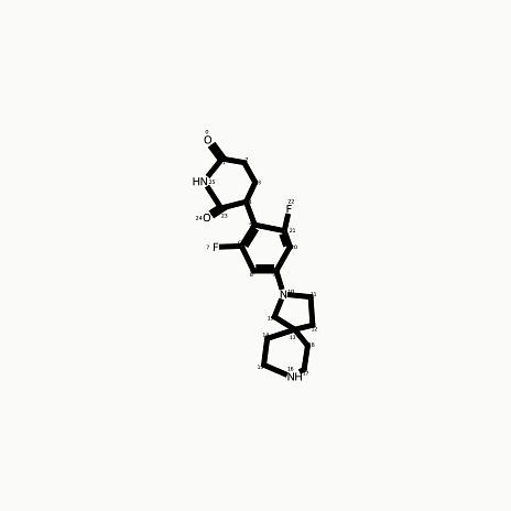 O=C1CCC(c2c(F)cc(N3CCC4(CCNCC4)C3)cc2F)C(=O)N1